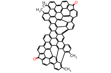 Cc1ccc2c3ccc4c(=O)c5ccc6c7ccc8c9cc%10c%11ccc(C)c%12c%13c(C)ccc%14c%15ccc%16c(=O)c%17ccc%18c%19ccc%20c%21cc%22c%23ccc(C)c%24c1c2c1c(c%23%24)c2c%22c(c%21c9c9c%20c%19c%19c(c%109)c(c%11%12)c(c%14%13)c9c%15c%16c%17c%18c9%19)c8c7c2c2c6c5c4c3c12